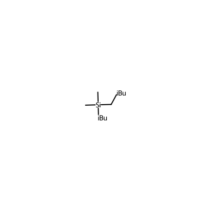 CCC(C)C[Si](C)(C)C(C)CC